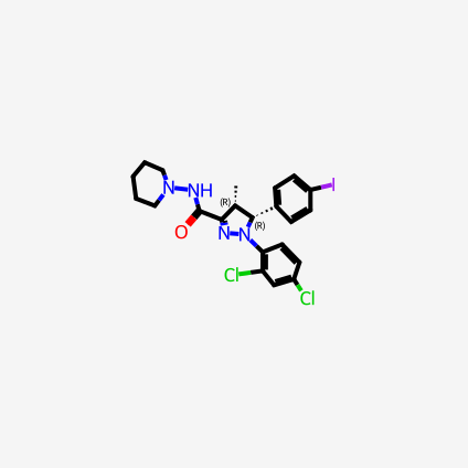 C[C@H]1C(C(=O)NN2CCCCC2)=NN(c2ccc(Cl)cc2Cl)[C@H]1c1ccc(I)cc1